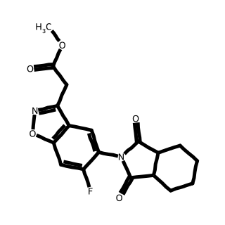 COC(=O)Cc1noc2cc(F)c(N3C(=O)C4CCCCC4C3=O)cc12